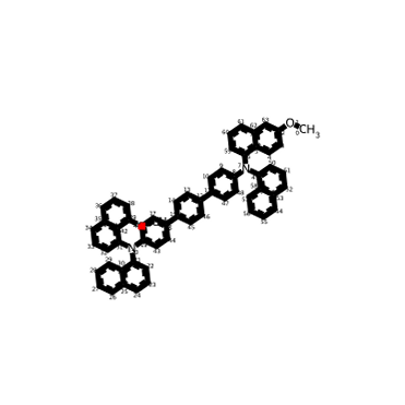 COc1ccc2c(N(c3ccc(-c4ccc(-c5ccc(N(c6cccc7ccccc67)c6cccc7cccc(OC)c67)cc5)cc4)cc3)c3cccc4ccccc34)cccc2c1